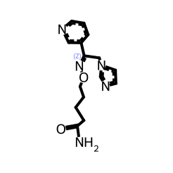 NC(=O)CCCCO/N=C(\Cn1ccnc1)c1cccnc1